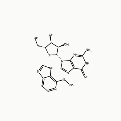 CCCSc1ncnc2nc[nH]c12.Nc1nc2c(ncn2[C@@H]2O[C@H](CO)[C@@H](O)[C@H]2O)c(=[Se])[nH]1